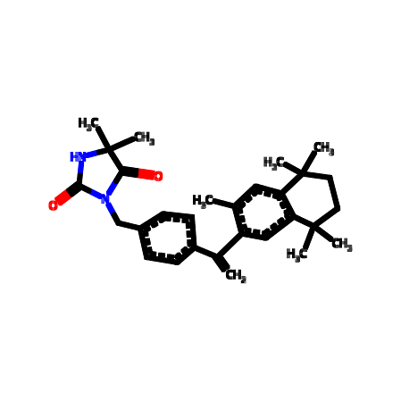 C=C(c1ccc(CN2C(=O)NC(C)(C)C2=O)cc1)c1cc2c(cc1C)C(C)(C)CCC2(C)C